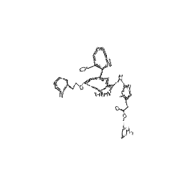 CCOC(=O)Cc1cnc(Nc2n[nH]c3c(OCCc4ccccn4)cc(-c4ncccc4Cl)cc23)s1